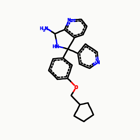 NC1NC(c2ccncc2)(c2cccc(OCC3CCCC3)c2)c2cccnc21